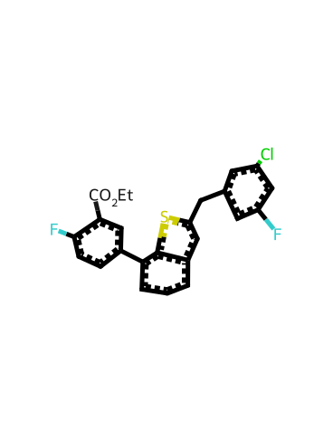 CCOC(=O)c1cc(-c2cccc3cc(Cc4cc(F)cc(Cl)c4)sc23)ccc1F